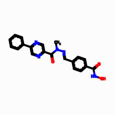 CN(/N=C/c1ccc(C(=O)NO)cc1)C(=O)c1cnc(-c2ccccc2)cn1